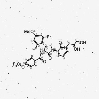 COc1cc(F)c([C@@H]2CN(c3cccn(CC(O)CO)c3=O)C(=O)[C@H]2NC(=O)c2ccc(OC(F)(F)F)cc2)c(F)c1